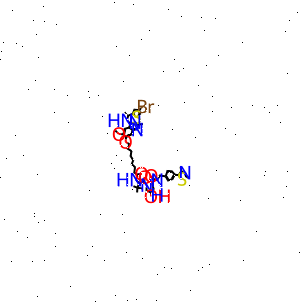 COc1cc2c(N[C@@H](C)c3cc(Br)cs3)nc(C)nc2cc1OCCCCCCCCC(=O)NC(C(=O)N1C[C@H](O)C[C@H]1C(=O)NCc1ccc(-c2scnc2C)cc1)C(C)(C)C